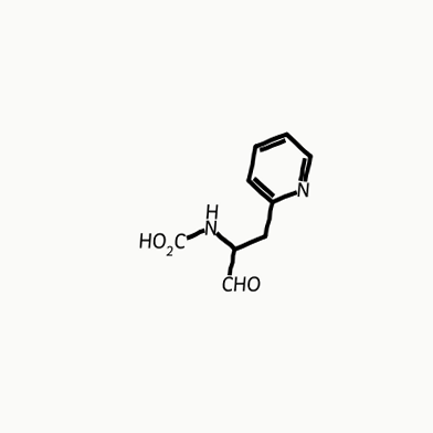 O=CC(Cc1ccccn1)NC(=O)O